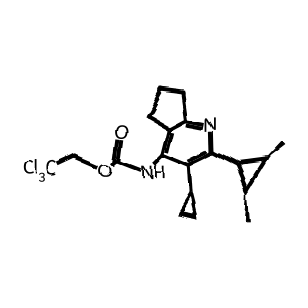 C[C@@H]1C(c2nc3c(c(NC(=O)OCC(Cl)(Cl)Cl)c2C2CC2)CCC3)[C@@H]1C